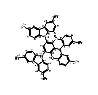 CC(C)c1ccc2c(c1)B1c3cc(C(C)C)ccc3Oc3c(-n4c5ccc(C(C)C)cc5c5cc(C(C)C)ccc54)cc(-n4c5ccc(C(C)C)cc5c5cc(C(C)C)ccc54)c(c31)O2